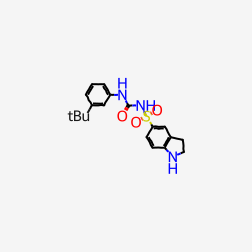 CC(C)(C)c1cccc(NC(=O)NS(=O)(=O)c2ccc3c(c2)CCN3)c1